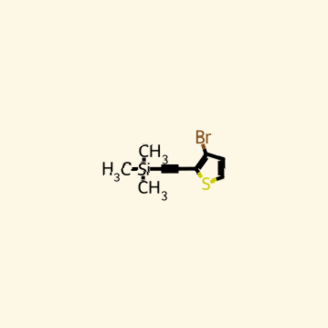 C[Si](C)(C)C#Cc1sccc1Br